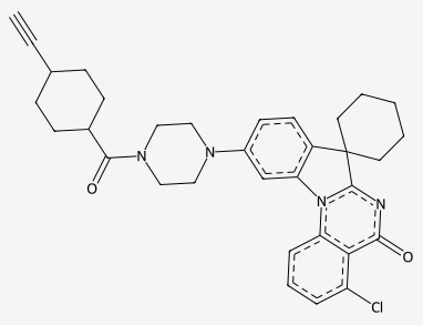 C#CC1CCC(C(=O)N2CCN(c3ccc4c(c3)-n3c(nc(=O)c5c(Cl)cccc53)C43CCCCC3)CC2)CC1